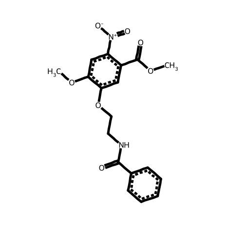 COC(=O)c1cc(OCCNC(=O)c2ccccc2)c(OC)cc1[N+](=O)[O-]